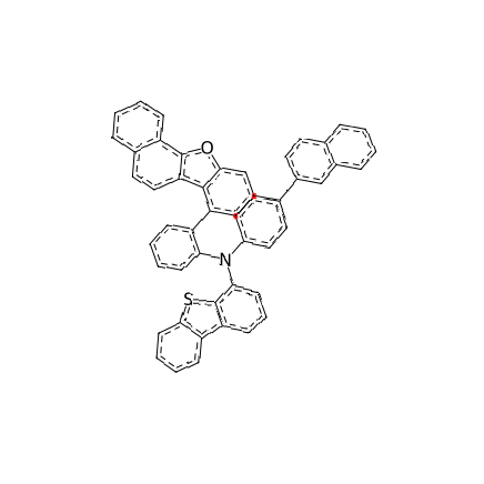 c1ccc(N(c2ccc(-c3ccc4ccccc4c3)cc2)c2cccc3c2sc2ccccc23)c(-c2cccc3oc4c5ccccc5ccc4c23)c1